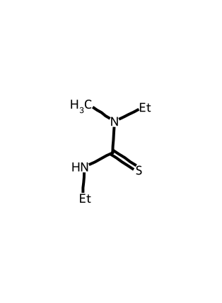 CCNC(=S)N(C)CC